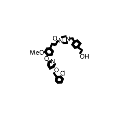 COc1cc(/C=C/C(=O)N2CCN(Cc3ccc(CCO)cc3)CC2)ccc1Oc1ccc(OCc2ccccc2Cl)cn1